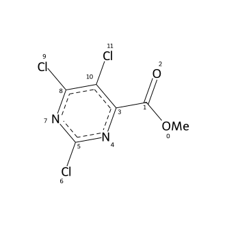 COC(=O)c1nc(Cl)nc(Cl)c1Cl